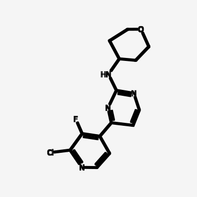 Fc1c(-c2ccnc(NC3CCOCC3)n2)ccnc1Cl